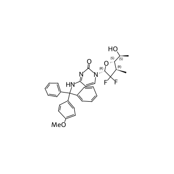 COc1ccc(C(Nc2ccn([C@@H]3O[C@H]([C@H](C)O)[C@@H](C)C3(F)F)c(=O)n2)(c2ccccc2)c2ccccc2)cc1